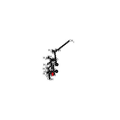 CCCCCCCCCCCCCCCCNC(=O)CN(CC(N)=O)C(=O)CCCCCNC(=O)C(Cc1c[nH]c2ccccc12)NC(=O)C(CCCNC(N)N)NC(=O)C(CSSC)NC(=O)C(CCCNC(N)N)NC(=O)C1CCCN(C(=O)C(NC(=O)C(Cc2c[nH]cn2)NC(=O)C(NC(=O)CNCC(=O)O)C(C)O)C(c2ccccc2)c2ccccc2)C1